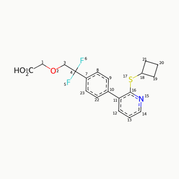 O=C(O)COCC(F)(F)c1ccc(-c2cccnc2SC2CCC2)cc1